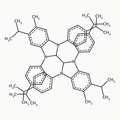 Cc1cc2c(cc1C(C)C)N(c1ccc(C(C)C)cc1)C(C1N(c3ccc(C(C)C)cc3)c3cc(C)c(C(C)C)cc3N1c1ccc(C(C)C)cc1)N2c1ccc(C(C)C)cc1